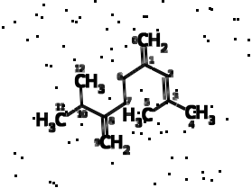 C=C(C=C(C)C)CCC(=C)C(C)C